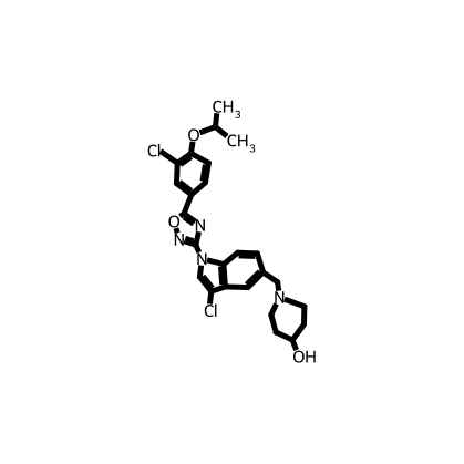 CC(C)Oc1ccc(-c2nc(-n3cc(Cl)c4cc(CN5CCC(O)CC5)ccc43)no2)cc1Cl